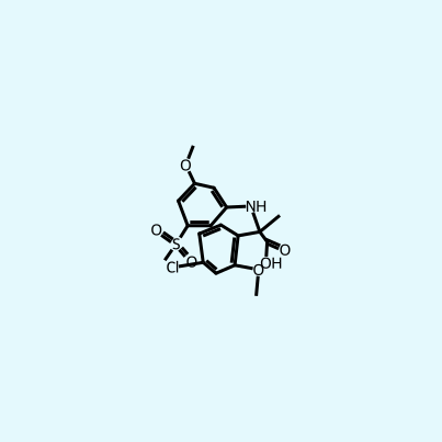 COc1cc(NC(C)(C(=O)O)c2ccc(Cl)cc2OC)cc(S(C)(=O)=O)c1